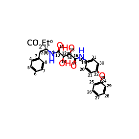 CCOC(=O)[C@@H](Cc1ccccc1)NC(=O)C(O)[C@@H](O)C(=O)Nc1ccc(Oc2ccccc2)cc1